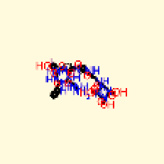 CN1C(=O)[C@@H](Cc2ccc(O)c(I)c2)NC(=O)CNC(=O)[C@H](CCc2ccc3ccccc3c2)NC(=O)[C@H](CCCNC(=N)N)NC(=O)[C@H]1CCCNC(=O)c1ccc(NC(=O)CCCCNC(=O)CN2CCN(CC(=O)O)CCN(CC(=O)O)CCN(CC(=O)O)CC2)cc1